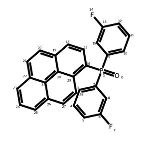 O=P(c1cccc(F)c1)(c1cccc(F)c1)c1ccc2ccc3cccc4ccc1c2c34